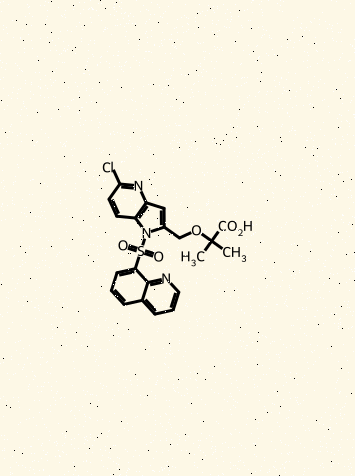 CC(C)(OCc1cc2nc(Cl)ccc2n1S(=O)(=O)c1cccc2cccnc12)C(=O)O